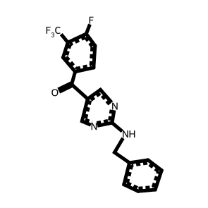 O=C(c1cnc(NCc2ccccc2)nc1)c1ccc(F)c(C(F)(F)F)c1